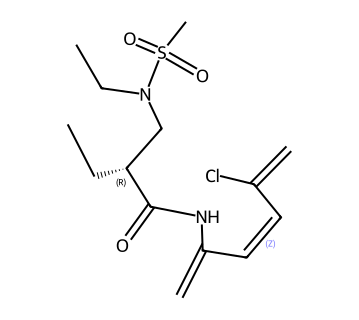 C=C(Cl)/C=C\C(=C)NC(=O)[C@H](CC)CN(CC)S(C)(=O)=O